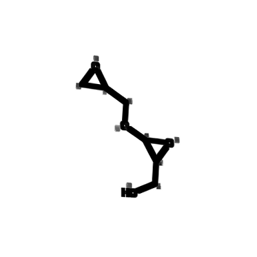 OCC1OC1OCC1CO1